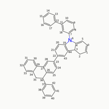 C1=CCC2C(=C1)N(c1cccc(-c3ccccc3)c1)c1ccc(-c3ccc4c(c3)-c3ccccc3CC4c3ccccc3)cc12